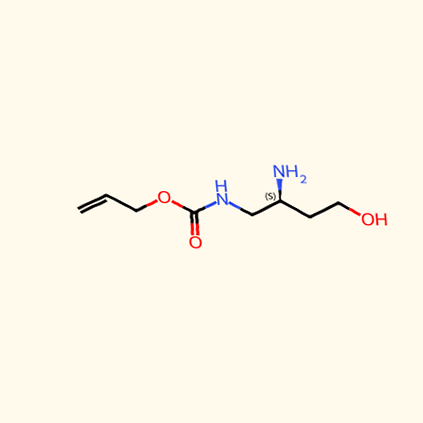 C=CCOC(=O)NC[C@@H](N)CCO